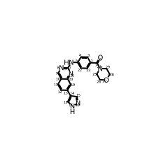 O=C(c1ccc(Nc2ncc3ccc(-c4cn[nH]c4)cc3n2)cc1)N1CCOCC1